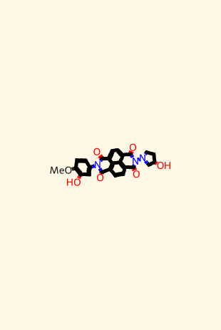 COc1ccc(N2C(=O)c3ccc4c5c(ccc(c35)C2=O)C(=O)N(N2CCC(O)C2)C4=O)cc1O